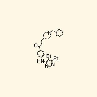 CCc1ncnc(Nc2ccc(C(=O)C=CC3CCN(Cc4ccccc4)CC3)cc2)c1CC